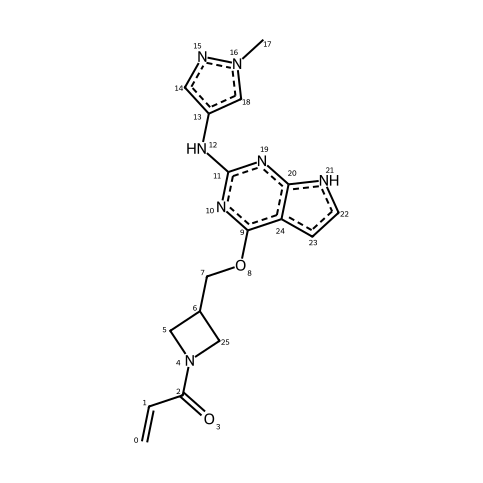 C=CC(=O)N1CC(COc2nc(Nc3cnn(C)c3)nc3[nH]ccc23)C1